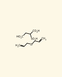 C=C[CH2][Zr][CH2]C=C.O=C(O)CC(C(=O)O)S(=O)(=O)O